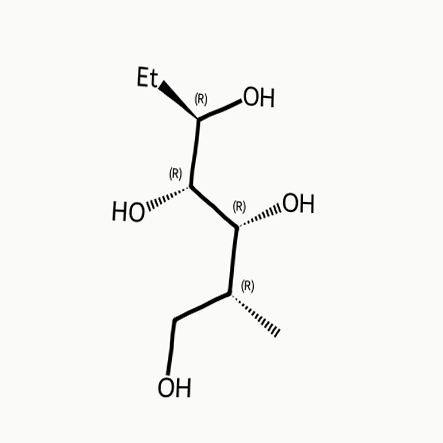 CC[C@@H](O)[C@@H](O)[C@H](O)[C@H](C)CO